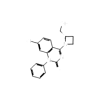 O=c1nc(N2CC[C@@H]2CO)c2ccc(Cl)cc2n1-c1ccccc1